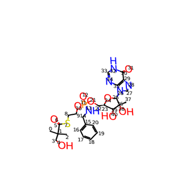 CC(C)(CO)C(=O)SCCOP(=O)(NCc1ccccc1)OC[C@H]1O[C@@H](n2cnc3c(=O)[nH]cnc32)[C@](C)(O)C1O